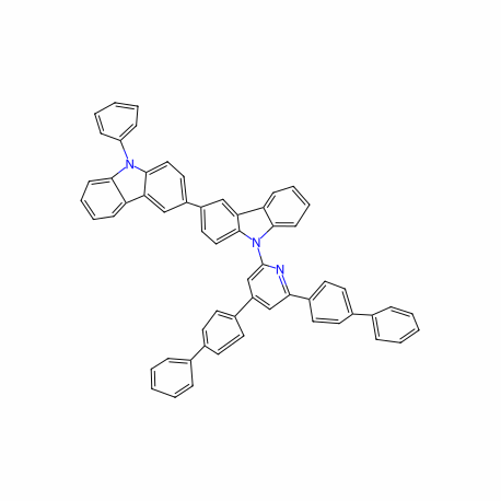 c1ccc(-c2ccc(-c3cc(-c4ccc(-c5ccccc5)cc4)nc(-n4c5ccccc5c5cc(-c6ccc7c(c6)c6ccccc6n7-c6ccccc6)ccc54)c3)cc2)cc1